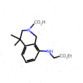 CCOC(=O)CNc1cccc2c1CN(C(=O)O)CC2(C)C